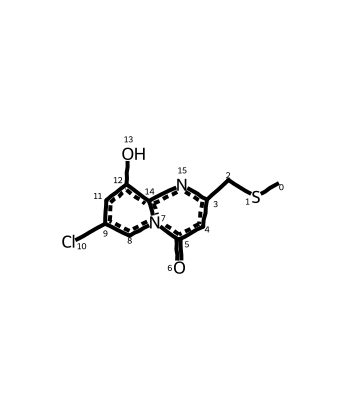 CSCc1cc(=O)n2cc(Cl)cc(O)c2n1